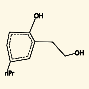 CCCc1ccc(O)c(CCO)c1